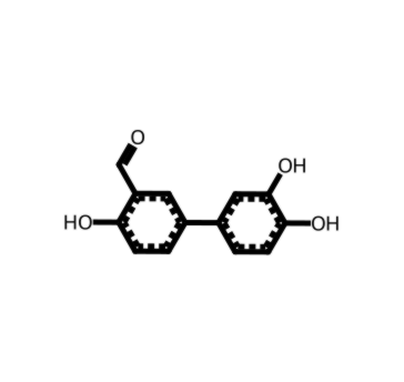 O=Cc1cc(-c2ccc(O)c(O)c2)ccc1O